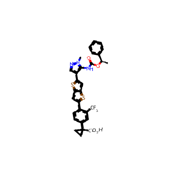 C[C@@H](OC(=O)Nc1c(-c2cc3sc(-c4ccc(C5(C(=O)O)CC5)cc4C(F)(F)F)cc3s2)cnn1C)c1ccccc1